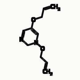 C=CCOC1=CN(OCC=C)CN=C1